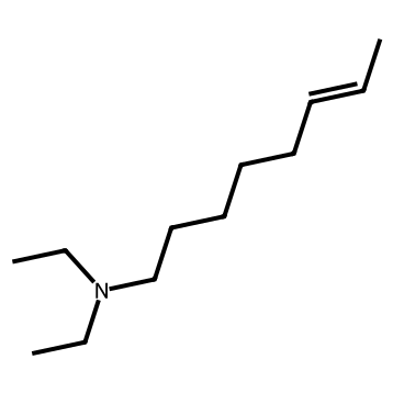 C/C=C/CCCCCN(CC)CC